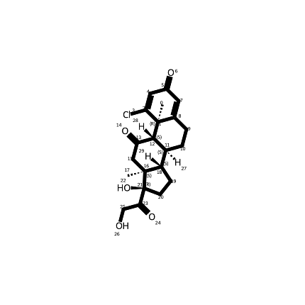 C[C@]12C(Cl)=CC(=O)C=C1CC[C@@H]1[C@@H]2C(=O)C[C@@]2(C)[C@H]1CC[C@]2(O)C(=O)CO